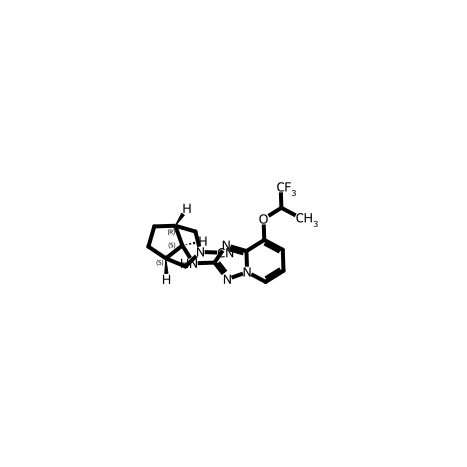 CC(Oc1cccn2nc(N[C@@H]3[C@@H]4CC[C@H]3CN(C#N)C4)nc12)C(F)(F)F